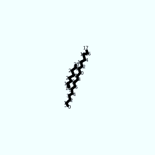 [CH2]CCCCCCCCCCCCCCCCC.[CH]=CCCCCCC